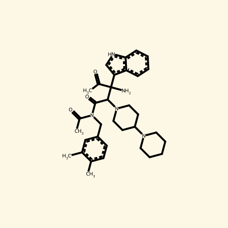 CC(=O)N(Cc1ccc(C)c(C)c1)C(=O)C(N1CCC(N2CCCCC2)CC1)C(N)(C(C)=O)c1c[nH]c2ccccc12